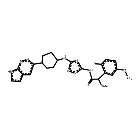 COC(C(=O)Nc1nnc(NC2CCC(c3cc4cc[nH]c4nn3)CC2)s1)c1cc(OC(F)(F)F)ccc1F